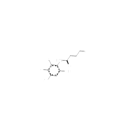 CCCCCCCCCCCCCC(=O)Nc1c(O)cc(C(C)=O)c(O)c1Cl